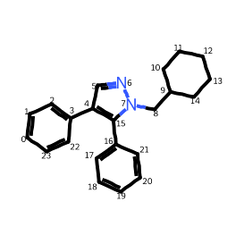 c1ccc(-c2cnn(CC3CCCCC3)c2-c2ccccc2)cc1